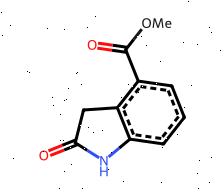 COC(=O)c1cccc2c1CC(=O)N2